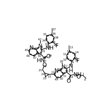 CCONC(=O)c1c(Nc2ccc(I)cc2F)n(C)c2nc(C3CC3CONC(=O)c3c(Nc4ccc(I)cc4F)n(C)c4ncccc34)ccc12